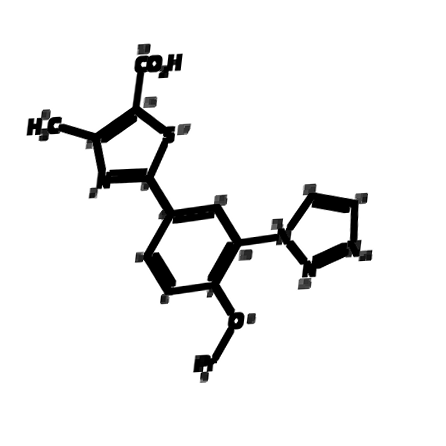 Cc1nc(-c2ccc(OC(C)C)c(-n3ccnn3)c2)sc1C(=O)O